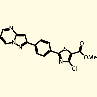 COC(=O)c1sc(-c2ccc(-c3cc4ncccn4n3)cc2)nc1Cl